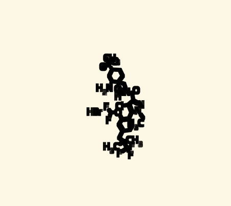 Br.CCn1nc(C(=O)NC[C@@]2(O)CC[C@H](S(C)(=O)=O)C[C@@H]2N)c(Cl)c1-c1ccc(CC(C)(C)C(F)(F)F)cc1OC(F)F